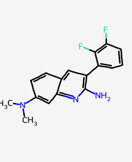 CN(C)c1ccc2cc(-c3cccc(F)c3F)c(N)nc2c1